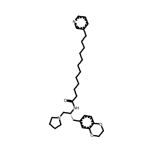 O=C(CCCCCCCCCCCc1cccnc1)N[C@H](Cc1ccc2c(c1)OCCO2)CN1CCCC1